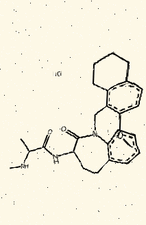 CNC(C)C(=O)NC1CCc2ccccc2N(Cc2c(OC)ccc3c2CCCC3)C1=O.Cl